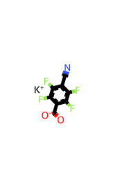 N#Cc1c(F)c(F)c(C(=O)[O-])c(F)c1F.[K+]